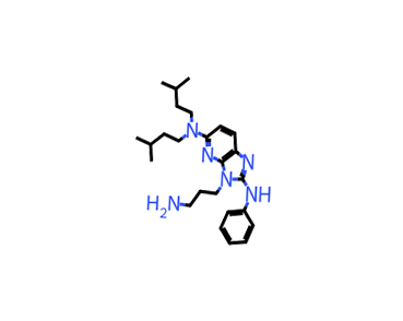 CC(C)CCN(CCC(C)C)c1ccc2nc(Nc3ccccc3)n(CCCN)c2n1